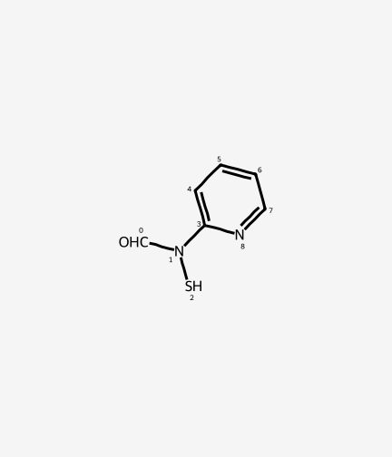 O=CN(S)c1ccccn1